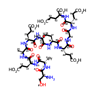 CC(C)[C@H](NC(=O)[C@@H](N)CO)C(=O)N[C@@H](CCC(=O)O)C(=O)N[C@@H](C)C(=O)N[C@@H](CCC(=O)O)C(=O)N[C@@H](C)C(=O)N[C@@H](CCC(=O)O)C(=O)N[C@@H](CCC(=O)O)C(=O)NCC(=O)N[C@@H](CCC(=O)O)C(=O)N[C@@H](CCC(=O)O)C(=O)O